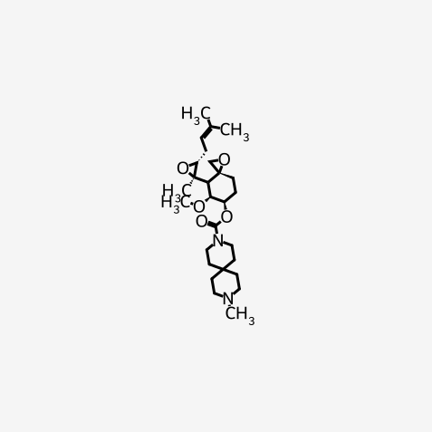 CO[C@H]1C([C@@]2(C)O[C@@H]2CC=C(C)C)[C@]2(CC[C@H]1OC(=O)N1CCC3(CCN(C)CC3)CC1)CO2